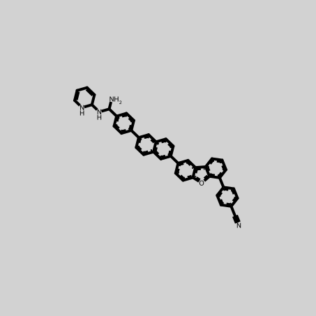 N#Cc1ccc(-c2cccc3c2oc2ccc(-c4ccc5cc(-c6ccc(C(N)NC7C=CC=CN7)cc6)ccc5c4)cc23)cc1